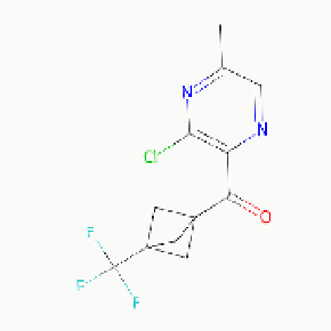 Cc1cnc(C(=O)C23CC(C(F)(F)F)(C2)C3)c(Cl)n1